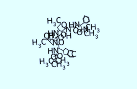 CCCC(NC(=O)[C@@H]1[C@@H]2C(CN1C(=O)[C@@H](NC(=O)OC(C)(C)C)C1Cc3ccccc3C1)C2(C)C)C(=O)C(=O)NCC(=O)N[C@H](C(=O)N(C)C)c1ccccc1